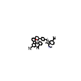 C/C=C\c1c2c(n([C@@H](C)c3ccc(C4CCCC[C@H]4c4cccc(C#N)c4-n4c5c(c6ccccc64)CC(C#N)C=C5)cc3)c1C)C=C(C#N)C=CC2